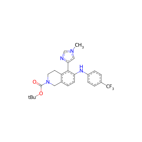 Cn1cnc(-c2c(Nc3ccc(C(F)(F)F)cc3)ccc3c2CCN(C(=O)OC(C)(C)C)C3)c1